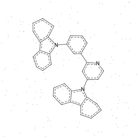 c1cc(-c2cc(-n3c4ccccc4c4ccccc43)ccn2)cc(-n2c3ccccc3c3ccccc32)c1